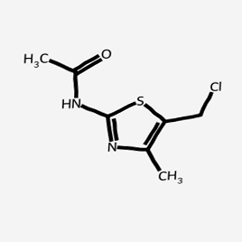 CC(=O)Nc1nc(C)c(CCl)s1